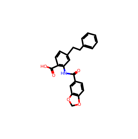 O=C(Nc1cc(CCc2ccccc2)ccc1C(=O)O)c1ccc2c(c1)OCO2